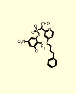 Cc1c(Cl)cc([N+](=O)[O-])cc1SS(=O)(=O)C(C=O)c1cc(SCCCc2ccccc2)ccn1